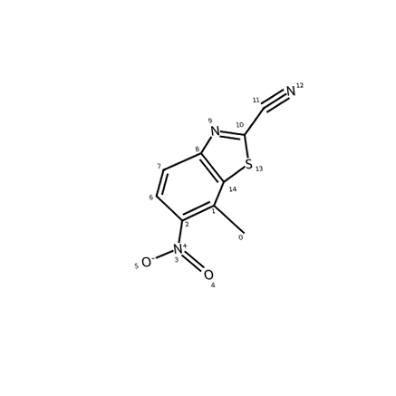 Cc1c([N+](=O)[O-])ccc2nc(C#N)sc12